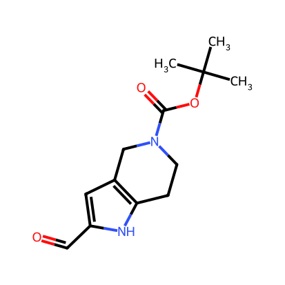 CC(C)(C)OC(=O)N1CCc2[nH]c(C=O)cc2C1